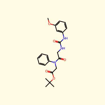 COc1cccc(NC(=O)NCC(=O)N(CC(=O)OC(C)(C)C)c2ccccc2)c1